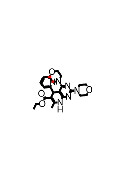 CCOC(=O)C1=C(C)Nc2nc(N3CCOCC3)nc(N3CCOCC3)c2C1c1ccccn1